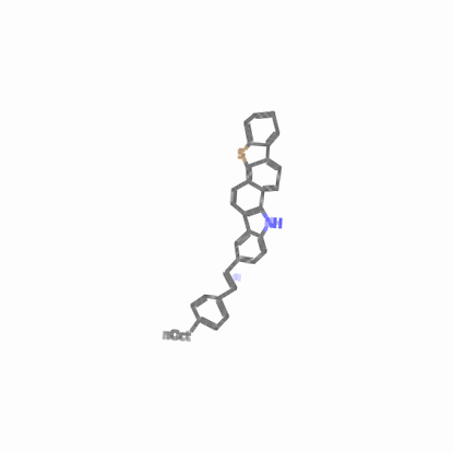 CCCCCCCCc1ccc(/C=C/c2ccc3[nH]c4c(ccc5c4ccc4c6ccccc6sc45)c3c2)cc1